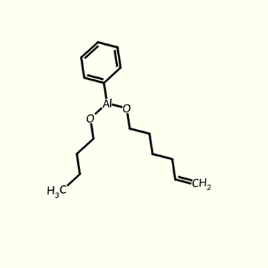 C=CCCCC[O][Al]([O]CCCC)[c]1ccccc1